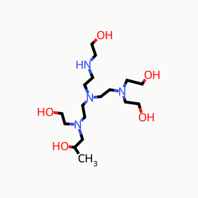 CC(O)CN(CCO)CCN(CCNCCO)CCN(CCO)CCO